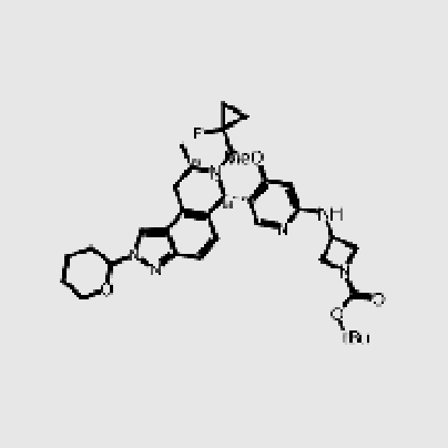 COc1cc(NC2CN(C(=O)OC(C)(C)C)C2)ncc1[C@@H]1c2ccc3nn(C4CCCCO4)cc3c2C[C@@H](C)N1CC1(F)CC1